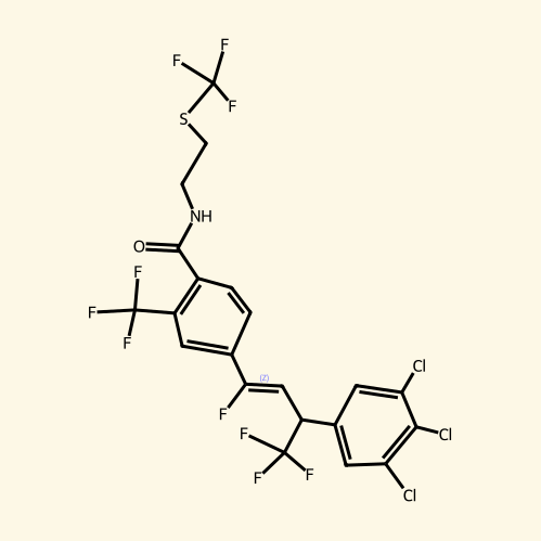 O=C(NCCSC(F)(F)F)c1ccc(/C(F)=C/C(c2cc(Cl)c(Cl)c(Cl)c2)C(F)(F)F)cc1C(F)(F)F